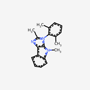 Cc1cccc(C)c1-n1c(C)nc2c3ccccc3n(C)c21